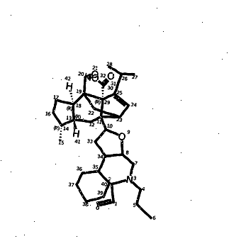 C=CCN(CCC)CC1OC(C23C[C@@H]4[C@H](C)CC[C@H]4C4(C=O)CC2C=C(C(C)C)[C@@]34C(=O)O)CC1C1CCCCC1